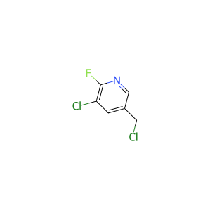 Fc1ncc(CCl)cc1Cl